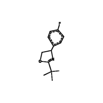 CC(C)(C)C1=NC(c2ccc(F)cc2)CO1